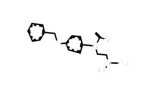 CCC(C)N(CCN(C(N)=O)c1ccc(OCc2ccccc2)cc1)C(C)C